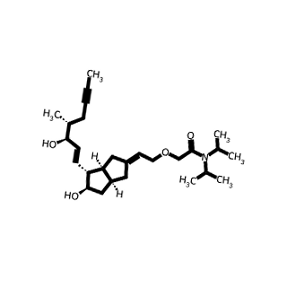 CC#CC[C@@H](C)[C@H](O)C=C[C@@H]1[C@H]2CC(=CCOCC(=O)N(C(C)C)C(C)C)C[C@H]2C[C@H]1O